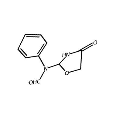 O=[C]N(c1ccccc1)C1NC(=O)CO1